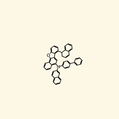 C1=Cc2ccccc2C(c2cccc3oc4c5ccccc5c(N(c5ccc(-c6ccccc6)cc5)c5ccc6ccccc6c5)cc4c23)C1